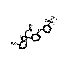 CCNCc1nc2c(C(F)(F)F)cccn2c1-c1cccc(Oc2cccc(S(C)(=O)=O)c2)c1